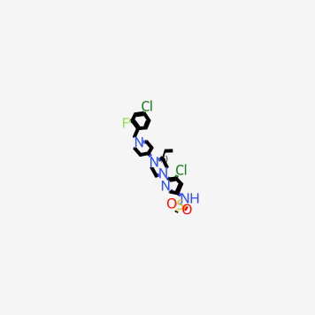 CC[C@H]1CN(c2ncc(NS(C)(=O)=O)cc2Cl)CCN1C1CCN(Cc2ccc(Cl)cc2F)CC1